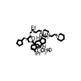 CCN(CCN1CCN(CCN2CCCCC2)CC1)C[C@@H]1O[C@@H](C23C[C@@H]4[C@H](C)CC[C@H]4C4(C=O)CC2C=C(C(C)C)[C@]43C(=O)O)C[C@H]1CC1CCCC1